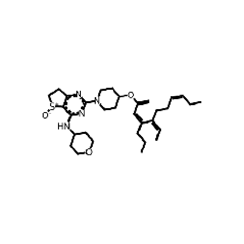 C=C(/C=C(CCC)\C(=C/C)CC/C=C\CC)OC1CCN(c2nc3c(c(NC4CCOCC4)n2)[S+]([O-])CC3)CC1